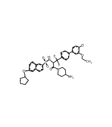 CCOc1cc(-c2ccc(C(F)(F)C(NS(=O)(=O)c3ccc4cc(OC5CCCC5)ccc4c3)C(=O)N3CCC(N)CC3)cc2)ccc1Cl